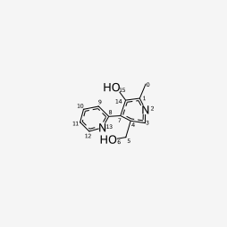 Cc1ncc(CO)c(-c2ccccn2)c1O